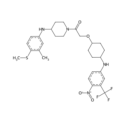 CSc1ccc(NC2CCN(C(=O)COC3CCC(Nc4ccc([N+](=O)[O-])c(C(F)(F)F)c4)CC3)CC2)cc1C